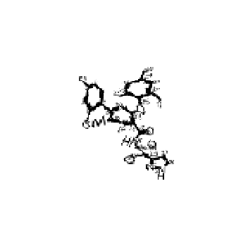 COc1cc(F)ccc1-c1ccc(C(=O)NS(=O)(=O)c2cc[nH]n2)c(Oc2c(C)cc(C)cc2C)n1